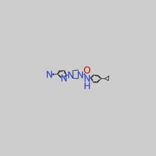 N#Cc1ccc(N2CCN(C(=O)Nc3ccc(C4CC4)cc3)CC2)nc1